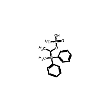 CC(OP(=O)(O)O)[Si](C)(c1ccccc1)c1ccccc1